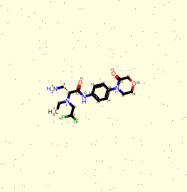 CCN(CC(F)F)[C@H](CN)C(=O)Nc1ccc(N2CCOCC2=O)cc1